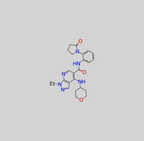 CCn1ncc2c(NC3CCOCC3)c(C(=O)Nc3ccccc3N3CCCC3=O)cnc21